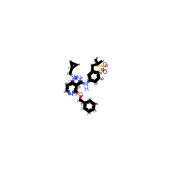 CC1(C)Cc2cc(Nc3nn(CC4CC4)c4ccnc(OCc5ccccc5)c34)ccc2S1(=O)=O